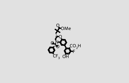 COC(=O)C(C)(C)C[C@H]1CN(S(=O)(=O)c2cccc(C(F)(F)F)c2)c2cc(-c3cc(O)cc(F)c3C(=O)O)ccc2O1